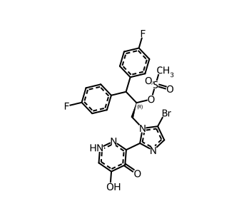 CS(=O)(=O)O[C@@H](Cn1c(Br)cnc1-c1n[nH]cc(O)c1=O)C(c1ccc(F)cc1)c1ccc(F)cc1